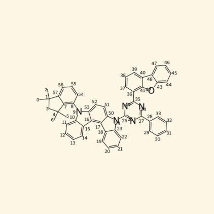 CC1(C)CC(C)(C)c2c(-n3c4ccccc4c4c5c6ccccc6n(-c6nc(-c7ccccc7)nc(-c7cccc8c7oc7ccccc78)n6)c5ccc43)cccc21